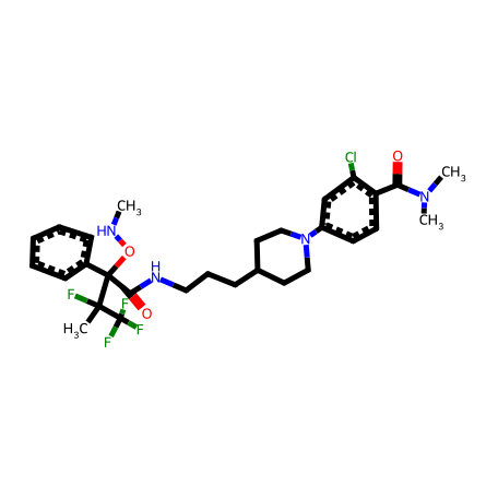 CNOC(C(=O)NCCCC1CCN(c2ccc(C(=O)N(C)C)c(Cl)c2)CC1)(c1ccccc1)C(C)(F)C(F)(F)F